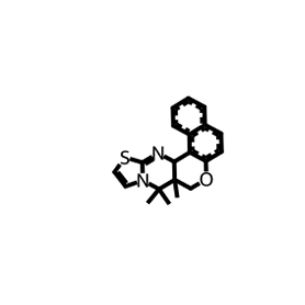 CC12COc3ccc4ccccc4c3C1N=C1SC=CN1C2(C)C